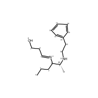 CCCC(N=CCCO)[C@@H](C)NCCc1ccccc1